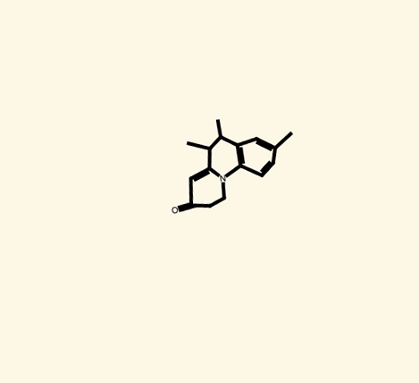 Cc1ccc2c(c1)C(C)C(C)C1=CC(=O)CCN12